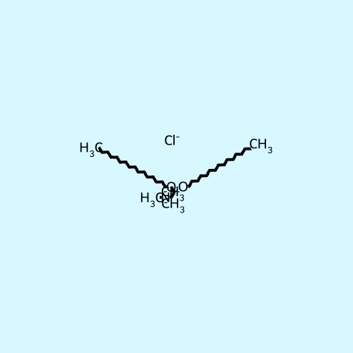 CCCCCCCCCCCCCCCCOC[C@H](C[N+](C)(C)C)OCCCCCCCCCCCCCCCC.[Cl-]